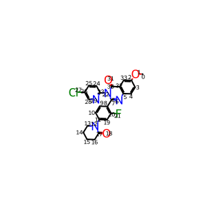 COc1ccc2nc(-c3ccc(N4CCCCC4=O)cc3F)n(-c3ccc(Cl)cn3)c(=O)c2c1